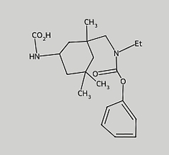 CCN(CC1(C)CC(NC(=O)O)CC(C)(C)C1)C(=O)Oc1ccccc1